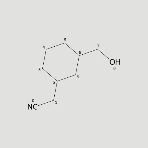 N#CCC1CCCC(CO)C1